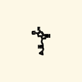 Fc1cc2[nH]cc(CCNCC3CC3)c2cc1Cl